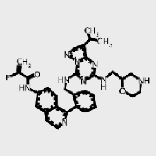 C=C(F)C(=O)Nc1ccc2c(-c3ccccc3CNc3nc(NCC4CNCCO4)nc4c(C(C)C)cnn34)nccc2c1